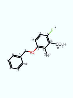 [2H]c1c(OCc2ccccc2)ccc(F)c1C(=O)O